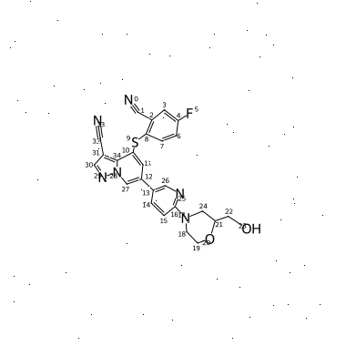 N#Cc1cc(F)ccc1Sc1cc(-c2ccc(N3CCOC(CO)C3)nc2)cn2ncc(C#N)c12